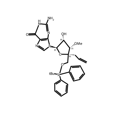 C=CC[C@]1(CO[Si](c2ccccc2)(c2ccccc2)C(C)(C)C)O[C@@H](n2cnc3c(=O)[nH]c(N)nc32)[C@H](O)[C@@H]1OC